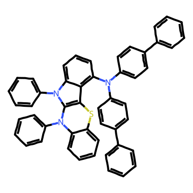 c1ccc(-c2ccc(N(c3ccc(-c4ccccc4)cc3)c3cccc4c3c3c(n4-c4ccccc4)N(c4ccccc4)c4ccccc4S3)cc2)cc1